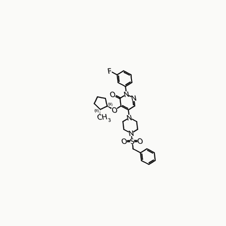 C[C@@H]1CCC[C@H]1Oc1c(N2CCN(S(=O)(=O)Cc3ccccc3)CC2)cnn(-c2cccc(F)c2)c1=O